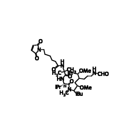 CCC(C)C(C(CC(CCCNC=O)C(OC)C(C)C)OC)N(C)C(=O)[C@@H](NC(=O)C(C)(C)NC(=O)CCCCCN1C(=O)C=CC1=O)C(C)C